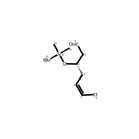 CC/C=C\C[C@@H](CC=O)O[Si](C)(C)C(C)(C)C